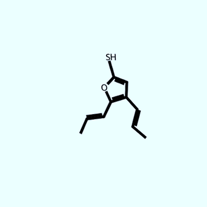 CC=Cc1cc(S)oc1C=CC